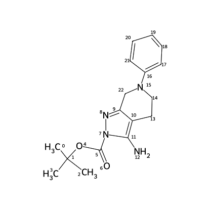 CC(C)(C)OC(=O)n1nc2c(c1N)CCN(c1ccccc1)C2